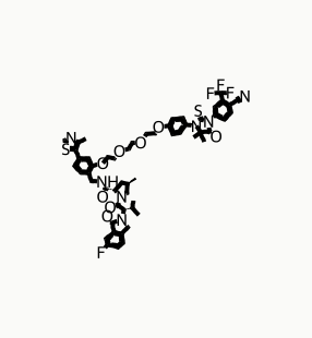 Cc1ncsc1-c1ccc(CNC(=O)[C@@H]2C[C@@H](C)CN2C(=O)[C@H](C(C)C)N2Cc3ccc(F)cc3C2=O)c(OCCOCCOCCOc2ccc(N3C(=S)N(c4ccc(C#N)c(C(F)(F)F)c4)C(=O)C3(C)C)cc2)c1